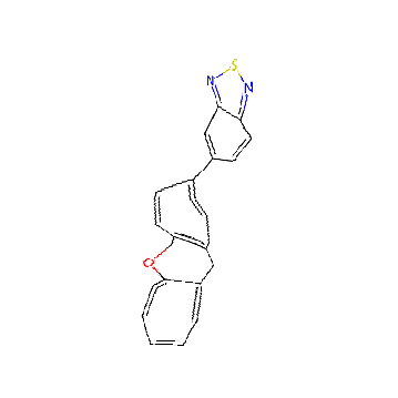 c1ccc2c(c1)Cc1cc(-c3ccc4nsnc4c3)ccc1O2